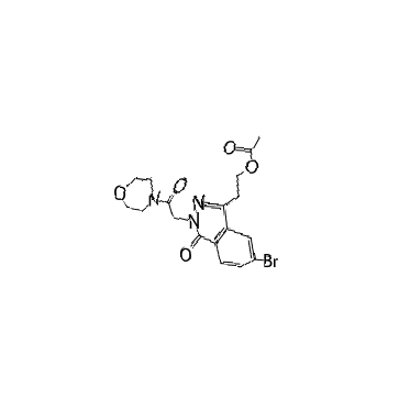 CC(=O)OCCc1nn(CC(=O)N2CCOCC2)c(=O)c2ccc(Br)cc12